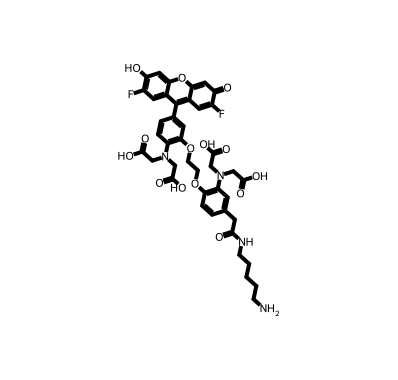 NCCCCCNC(=O)Cc1ccc(OCCOc2cc(-c3c4cc(F)c(=O)cc-4oc4cc(O)c(F)cc34)ccc2N(CC(=O)O)CC(=O)O)c(N(CC(=O)O)CC(=O)O)c1